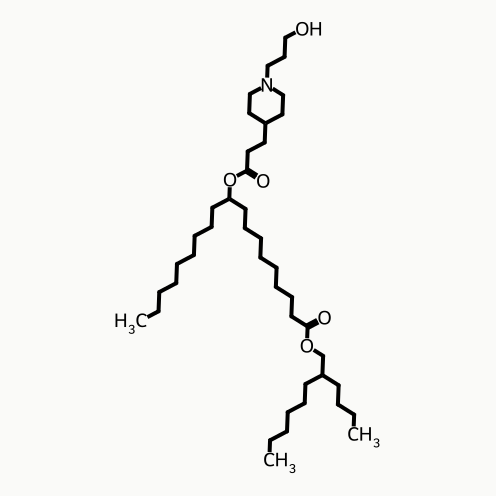 CCCCCCCCCC(CCCCCCCCC(=O)OCC(CCCC)CCCCCC)OC(=O)CCC1CCN(CCCO)CC1